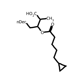 CCCCCCCCCCCC(OC(=O)CCCCC1CC1)C(C)C(=O)O